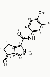 Cc1cc(NC(=O)c2c3c(cn2C)C(=O)CC3)ccc1F